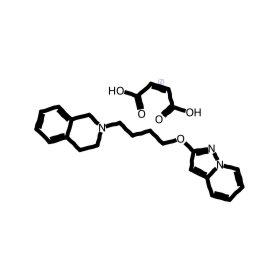 O=C(O)/C=C\C(=O)O.c1ccc2c(c1)CCN(CCCCOc1cc3ccccn3n1)C2